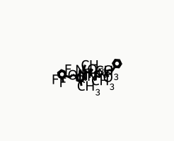 CCC(C)(CNC(=O)OCc1ccccc1)NC(=O)c1c(C)nc2c(OCc3c(F)ccc(F)c3F)cc(C)cn12